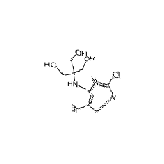 OCC(CO)(CO)Nc1nc(Cl)ncc1Br